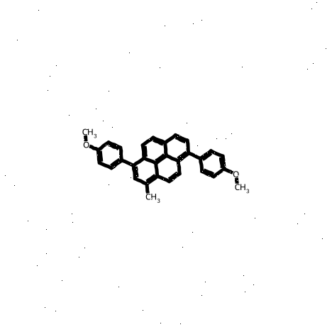 COc1ccc(-c2ccc3ccc4c(-c5ccc(OC)cc5)cc(C)c5ccc2c3c54)cc1